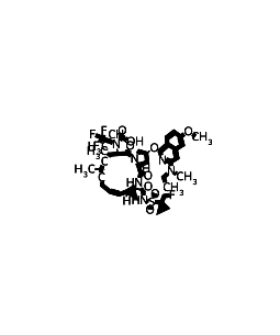 CCN(C)c1cc2cc(OC)ccc2c(O[C@@H]2C[C@H]3C(=O)N[C@]4(C(=O)NS(=O)(=O)C5(CF)CC5)C[C@H]4C=CCC[C@@H](C)C[C@@H](C)[C@H](N(C(=O)O)C(C)(C)C(F)(F)F)C(=O)N3C2)n1